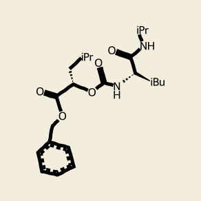 CC[C@H](C)[C@H](NC(=O)O[C@@H](CC(C)C)C(=O)OCc1ccccc1)C(=O)NC(C)C